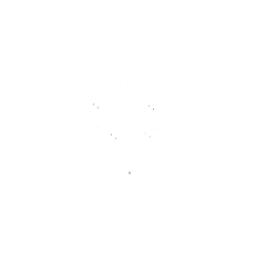 CC=CC(CCC)n1c(C)nc2c(=O)[nH]c(=O)[nH]c21